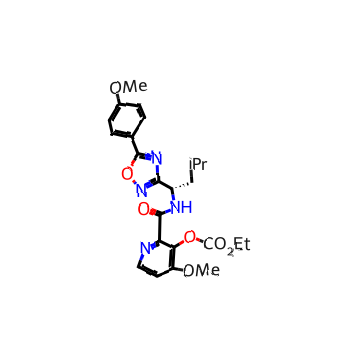 CCOC(=O)Oc1c(OC)ccnc1C(=O)N[C@@H](CC(C)C)c1noc(-c2ccc(OC)cc2)n1